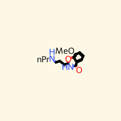 CCCNCCCC1NC(=O)c2cccc(OC)c2O1